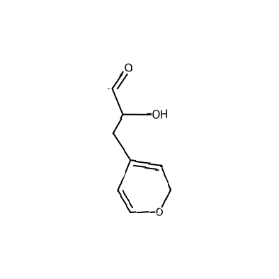 O=[C]C(O)CC1=CCOC=C1